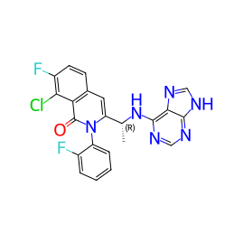 C[C@@H](Nc1ncnc2[nH]cnc12)c1cc2ccc(F)c(Cl)c2c(=O)n1-c1ccccc1F